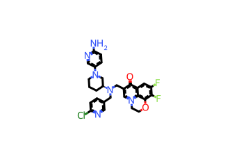 Nc1ccc(N2CCC[C@H](N(Cc3ccc(Cl)nc3)Cc3cn4c5c(c(F)c(F)cc5c3=O)OCC4)C2)cn1